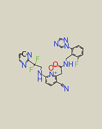 N#Cc1ccc(NCC(F)(F)c2ncccn2)[n+]([O-])c1CC(=O)NCc1c(F)cccc1-n1cncn1